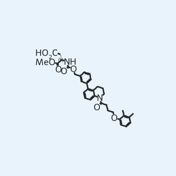 COC(=O)[C@H](CC(=O)O)NC(=O)OCc1cccc(-c2cccc3c2CCCN3C(=O)CCCOc2cccc(C)c2C)c1